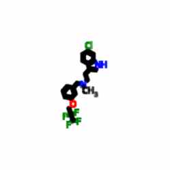 CN(CCc1c[nH]c2cc(Cl)ccc12)Cc1cccc(OCC(F)(F)C(F)F)c1